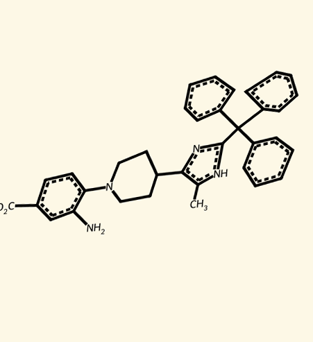 Cc1[nH]c(C(c2ccccc2)(c2ccccc2)c2ccccc2)nc1C1CCN(c2ccc(C(=O)O)cc2N)CC1